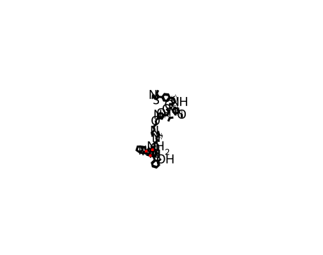 CO[C@@H]1C[C@@H](C(=O)N[C@@H](C)c2ccc(-c3scnc3C)cc2)N(C(=O)[C@@H](c2cc(OCCN3CCN(CCOc4cc(N5C6CCC5CN(c5cc(-c7ccccc7O)nnc5N)C6)ccn4)[C@H](C)C3)no2)C(C)C)C1